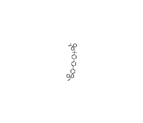 C=CC(=O)Oc1ccc(-c2ccc(-c3ccc(C(C)(C)COC(=O)C(=C)C)cc3)cc2)cc1